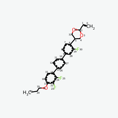 C=CC1OCC(c2ccc(-c3ccc(-c4ccc(OCCC)c(F)c4F)cc3)cc2F)CO1